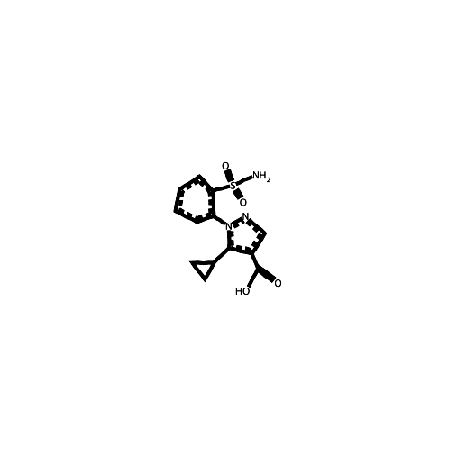 NS(=O)(=O)c1ccccc1-n1ncc(C(=O)O)c1C1CC1